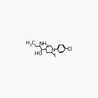 CCC(N)C(O)C1CCN(c2ccc(Cl)cc2)C(I)C1